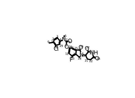 Cc1ccc(N(C)C(=O)Oc2cc(F)c3c(c2)C(=O)N(C2CCC(=O)NC2=O)C3)cc1Cl